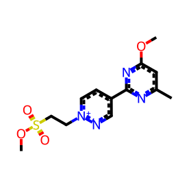 COc1cc(C)nc(-c2cc[n+](CCS(=O)(=O)OC)nc2)n1